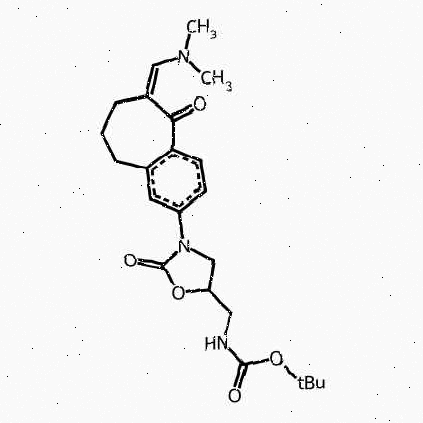 CN(C)C=C1CCCc2cc(N3CC(CNC(=O)OC(C)(C)C)OC3=O)ccc2C1=O